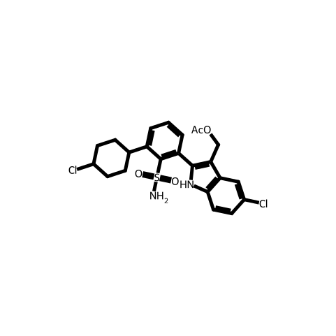 CC(=O)OCc1c(-c2cccc(C3CCC(Cl)CC3)c2S(N)(=O)=O)[nH]c2ccc(Cl)cc12